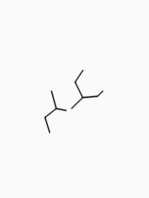 CCC(C)SC(CC)CO